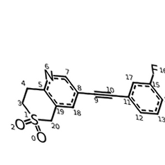 O=S1(=O)CCc2ncc(C#Cc3cccc(F)c3)cc2C1